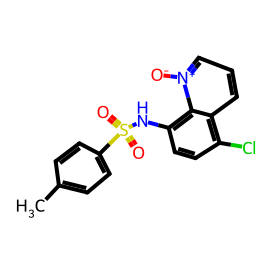 Cc1ccc(S(=O)(=O)Nc2ccc(Cl)c3ccc[n+]([O-])c23)cc1